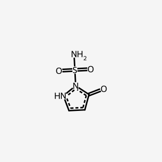 NS(=O)(=O)n1[nH]ccc1=O